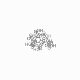 O=P(O)(O)OC1[C@@H](OP(=O)(O)O)[C@@H](OP(=O)(O)O)C(OP(=O)(O)OP(=O)(O)O)[C@H](OP(=O)(O)O)[C@H]1OP(=O)(O)O